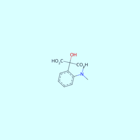 CN(C)c1ccccc1C(O)(C(=O)O)C(=O)O